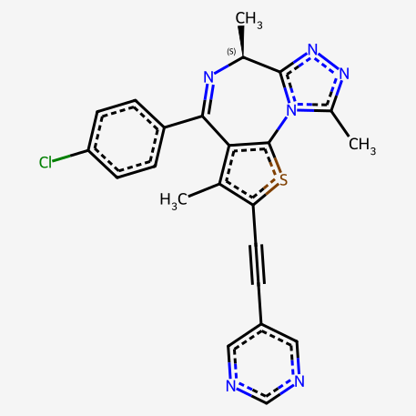 Cc1c(C#Cc2cncnc2)sc2c1C(c1ccc(Cl)cc1)=N[C@@H](C)c1nnc(C)n1-2